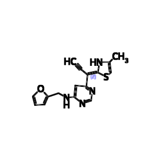 C#C/C(=C1\NC(C)=CS1)c1cc(NCc2ccco2)ncn1